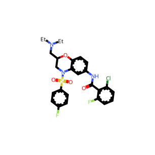 CCN(CC)CC1CN(S(=O)(=O)c2ccc(F)cc2)c2cc(NC(=O)c3c(F)cccc3Cl)ccc2O1